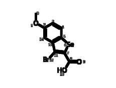 COc1ccc2[se]c(C(=O)O)c(Br)c2c1